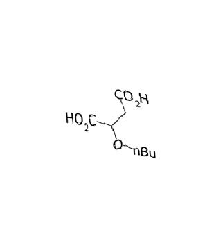 CCCCOC(CC(=O)O)C(=O)O